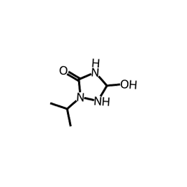 CC(C)N1NC(O)NC1=O